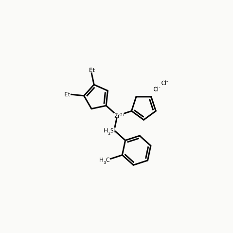 CCC1=C(CC)C[C]([Zr+2]([SiH2]c2ccccc2C)[C]2=CC=CC2)=C1.[Cl-].[Cl-]